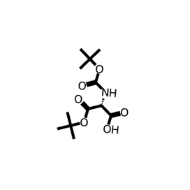 CC(C)(C)OC(=O)N[C@H](C(=O)O)C(=O)OC(C)(C)C